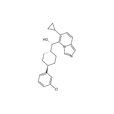 O[C@H](c1c(C2CC2)ccc2cncn12)[C@H]1CC[C@H](c2cccc(Cl)c2)CC1